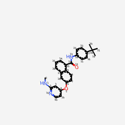 CNc1cc(Oc2ccc3c(C(=O)Nc4ccc(C(C)(C)C)cc4)cccc3c2)ccn1